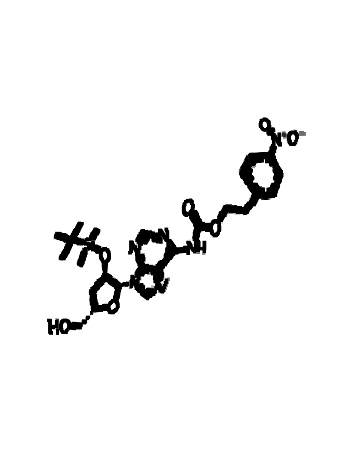 CC(C)(C)[Si](C)(C)O[C@@H]1C[C@@H](CO)O[C@H]1n1cnc2c(NC(=O)OCCc3ccc([N+](=O)[O-])cc3)ncnc21